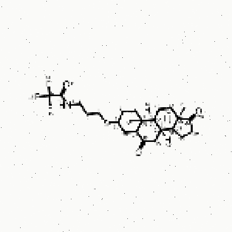 C[C@]12CC[C@H](SCCCNC(=O)C(F)(F)F)CC1C(=O)C[C@@H]1[C@@H]2CC[C@]2(C)C(=O)CC[C@@H]12